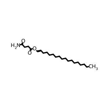 CCCCCCCCCCCCCCCCC=COC(=O)CCC(N)=O